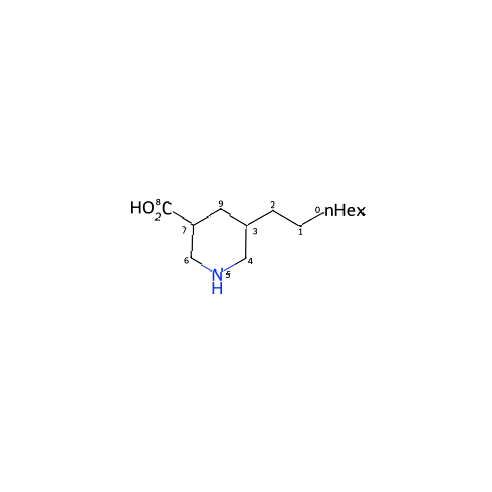 CCCCCCCCC1CNCC(C(=O)O)C1